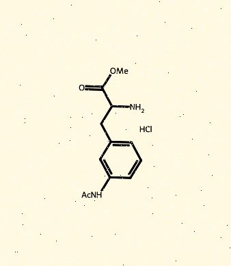 COC(=O)C(N)Cc1cccc(NC(C)=O)c1.Cl